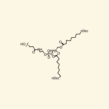 CCCCCCCCCCCCCCCCCC(=O)OC[C@H](COP(=O)(O)OCCNC(=O)CCC(=O)O)OC(=O)CCCCCCCCCCCCCCCCC